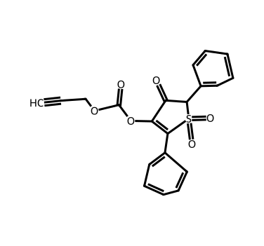 C#CCOC(=O)OC1=C(c2ccccc2)S(=O)(=O)C(c2ccccc2)C1=O